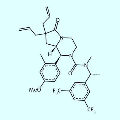 C=CCC1(CC=C)C[C@H]2[C@H](c3ccc(OC)cc3C)N(C(=O)N(C)[C@H](C)c3cc(C(F)(F)F)cc(C(F)(F)F)c3)CCN2C1=O